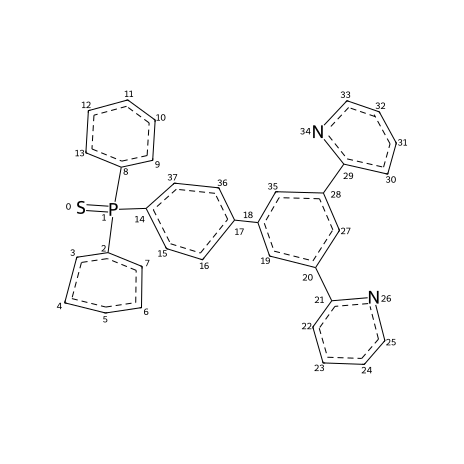 S=P(c1ccccc1)(c1ccccc1)c1ccc(-c2cc(-c3ccccn3)cc(-c3ccccn3)c2)cc1